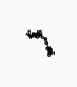 CN(CCCOCCCc1cccc2c1n(C)c(=O)n2C1CCC(=O)NC1=O)C[C@H]1CC[C@H](n2cc(NC(=O)c3coc(-c4ccnc(NCC5CC5)c4)n3)c(C(F)F)n2)CC1